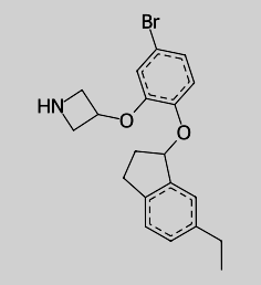 CCc1ccc2c(c1)C(Oc1ccc(Br)cc1OC1CNC1)CC2